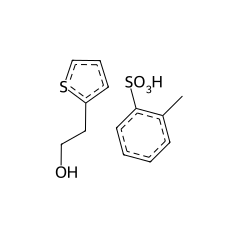 Cc1ccccc1S(=O)(=O)O.OCCc1cccs1